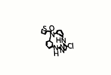 O=C(C1=CCCS1)N1CC2C=CC=C(C2)Nc2ncc(Cl)c(n2)Nc2cccc1c2